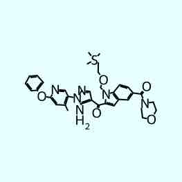 Cc1cc(Oc2ccccc2)ncc1-n1ncc(C(=O)c2cc3cc(C(=O)N4CCOCC4)ccc3n2COCCS(C)(C)C)c1N